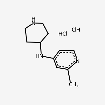 Cc1cc(NC2CCNCC2)ccn1.Cl.Cl